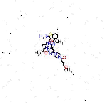 COC/C=C/C(=O)N1CCN(c2cc(-c3noc([C@@]4(C)CCCc5sc(N)c(C#N)c54)n3)nc(O[C@@H](C)[C@@H]3CCCN3C)n2)CC1